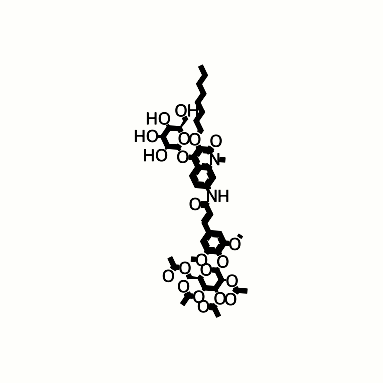 CCCCCCCCOc1c(O[C@@H]2O[C@H](CO)[C@H](O)[C@H](O)[C@H]2O)c2ccc(NC(=O)/C=C/c3cc(OC)c(O[C@@H]4O[C@H](COC(C)=O)[C@H](OC(C)=O)[C@H](OC(C)=O)[C@H]4OC(C)=O)c(OC)c3)cc2n(C)c1=O